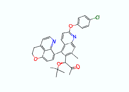 CC(=O)[C@@H](OC(C)(C)C)c1c(C)cc2nc(Oc3ccc(Cl)cc3)ccc2c1-c1ccc2c3c(ccnc13)CCO2